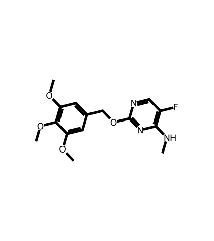 CNc1nc(OCc2cc(OC)c(OC)c(OC)c2)ncc1F